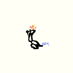 NCC1Cc2c(ccc3c2CCCC3(C[SH](=O)=O)C2=CC=C2)-c2ccccc21